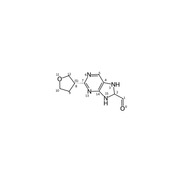 O=CC1Nc2cnc([C@@H]3CCOC3)nc2N1